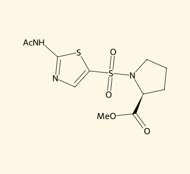 COC(=O)[C@@H]1CCCN1S(=O)(=O)c1cnc(NC(C)=O)s1